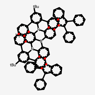 Cc1cc2c3c(c1)N(c1c(-c4ccccc4)cc(C(C)(C)C)cc1-c1ccccc1)c1cc(-n4c(-c5ccccc5)c(-c5ccccc5)c5ccccc54)ccc1B3c1ccc(-n3c(-c4ccccc4)c(-c4ccccc4)c4ccccc43)cc1N2c1c(-c2ccccc2)cc(C(C)(C)C)cc1-c1ccccc1